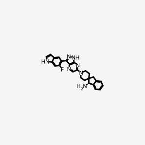 N[C@@H]1c2ccccc2CC12CCN(c1cnc3c(-c4cc5cc[nH]c5cc4F)n[nH]c3n1)CC2